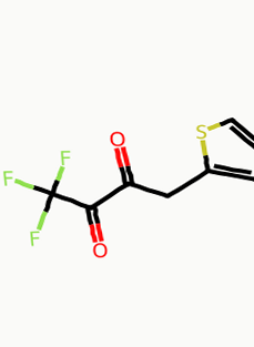 O=C(Cc1cccs1)C(=O)C(F)(F)F